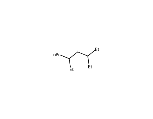 CCCC([CH]C(CC)CC)CC